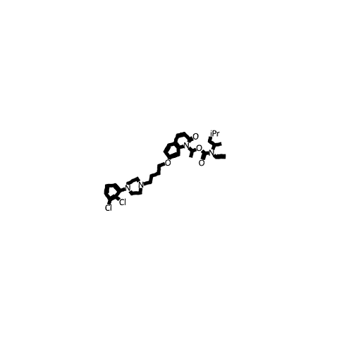 C=CN(C(=O)OC(C)n1c(=O)ccc2ccc(OCCCCN3CCN(c4cccc(Cl)c4Cl)CC3)cc21)C(C)CC(C)C